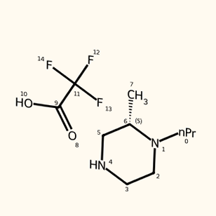 CCCN1CCNC[C@@H]1C.O=C(O)C(F)(F)F